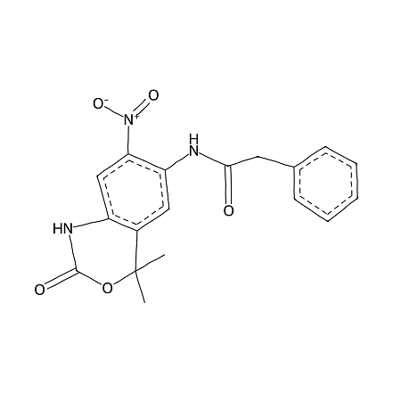 CC1(C)OC(=O)Nc2cc([N+](=O)[O-])c(NC(=O)Cc3ccccc3)cc21